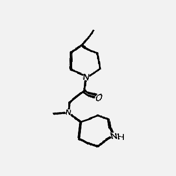 CC1CCN(C(=O)CN(C)C2CCNCC2)CC1